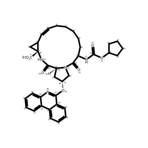 CCOC(=O)[C@@]12CC1/C=C\CCCCCC(NC(=O)OC1CCCC1)C(=O)N1C[C@H](Oc3nc4ccccc4c4ccccc34)C[C@H]1C(=O)N2